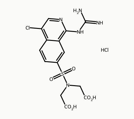 Cl.N=C(N)Nc1ncc(Cl)c2ccc(S(=O)(=O)N(CC(=O)O)CC(=O)O)cc12